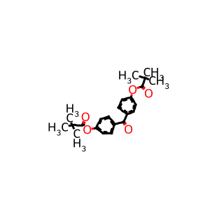 CC(C)(C)C(=O)Oc1ccc(C(=O)c2ccc(OC(=O)C(C)(C)C)cc2)cc1